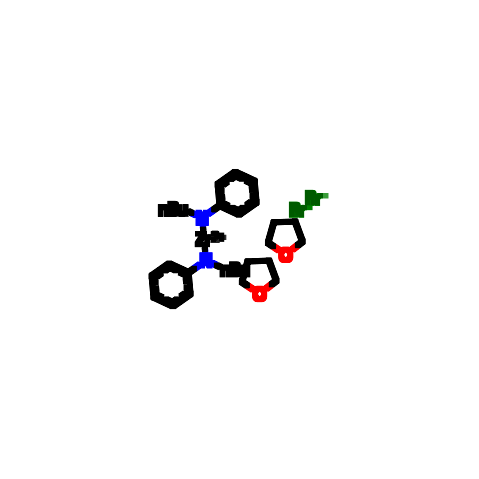 C1CCOC1.C1CCOC1.CCCC[N]([Zr+2][N](CCCC)c1ccccc1)c1ccccc1.[Br-].[Br-]